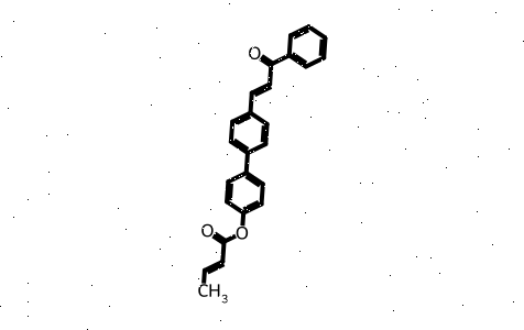 CC=CC(=O)Oc1ccc(-c2ccc(C=CC(=O)c3ccccc3)cc2)cc1